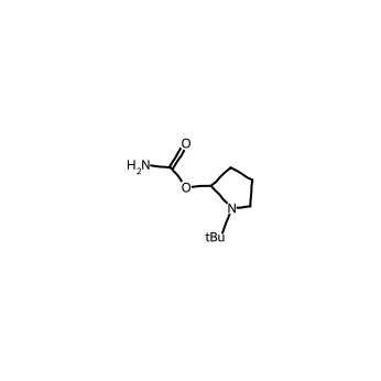 CC(C)(C)N1CCCC1OC(N)=O